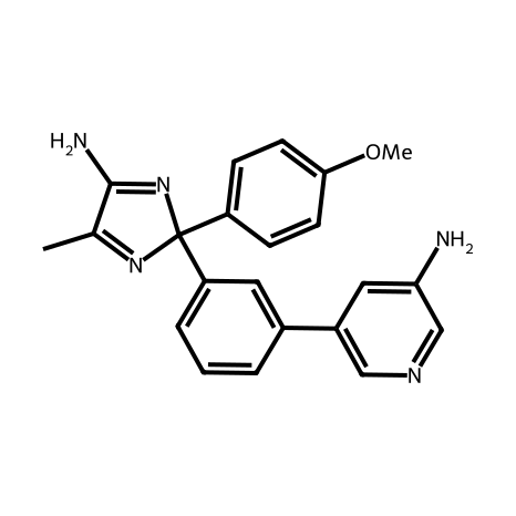 COc1ccc(C2(c3cccc(-c4cncc(N)c4)c3)N=C(C)C(N)=N2)cc1